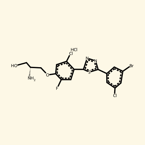 Cl.N[C@H](CO)COc1cc(Cl)c(-c2nnc(-c3cc(Cl)cc(Br)c3)s2)cc1F